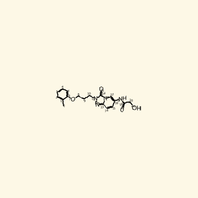 Cc1ccccc1OCCCn1nc2ccc(NC(=O)CO)cn2c1=O